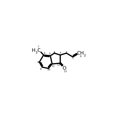 C=CCC1Cc2c(C)cccc2C1=O